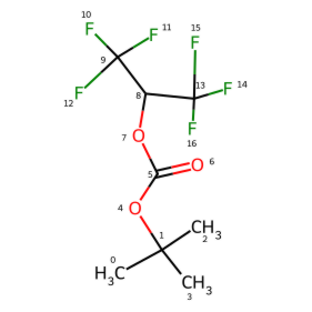 CC(C)(C)OC(=O)OC(C(F)(F)F)C(F)(F)F